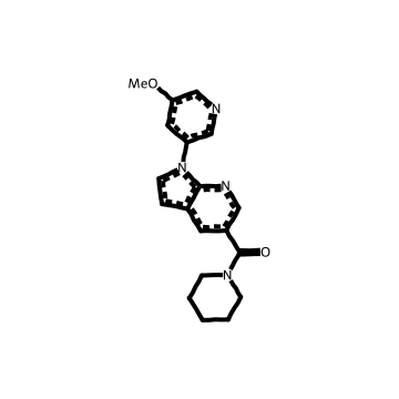 COc1cncc(-n2ccc3cc(C(=O)N4CCCCC4)cnc32)c1